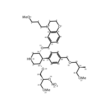 COCCCN1CCOc2ccc(CO[C@H]3CNC[C@@H](OC[C@H](COC)O[N+](=O)[O-])[C@@H]3c3ccc(COC[C@@H](C)COC)cc3)cc21